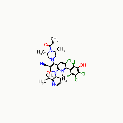 C=CC(=O)N1[C@H](C)CN(c2c(C#N)c(=O)n(C3C(C(C)C)=NC=C[C@H]3C)c3nc(-c4c(F)c(Cl)c(Cl)c(O)c4Cl)c(Cl)cc23)C[C@@H]1C